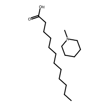 CCCCCCCCCCCC(=O)O.CN1CCCCC1